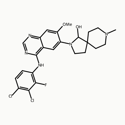 COc1cc2ncnc(Nc3ccc(Cl)c(Cl)c3F)c2cc1N1CCC2(CCN(C)CC2)C1O